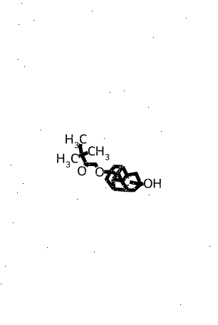 CCC(C)(C)C(=O)COC12CC3C4CC5(O)CC3C(C1)C(C5)C4C2